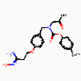 COC(=O)CN(Cc1ccc(OCC/C(N)=N/O)cc1)C(=O)Oc1ccc(OC)cc1